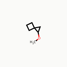 COC1CC12CCC2